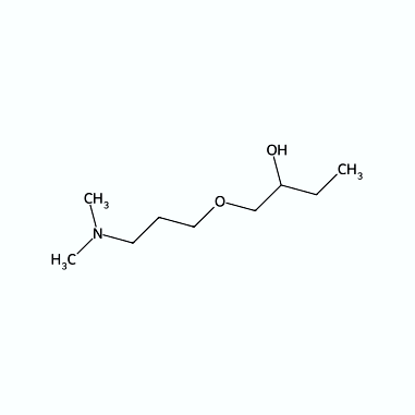 CCC(O)COCCCN(C)C